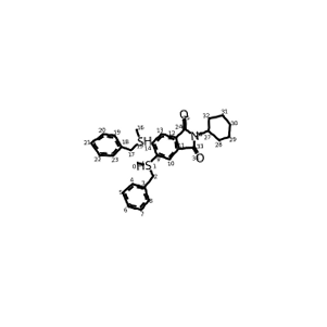 C[SH](Cc1ccccc1)c1cc2c(cc1[SH](C)Cc1ccccc1)C(=O)N(C1CCCCC1)C2=O